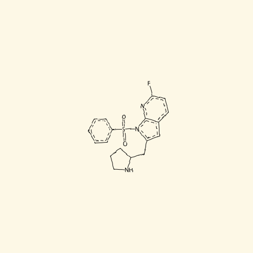 O=S(=O)(c1ccccc1)n1c(CC2CCCN2)cc2ccc(F)nc21